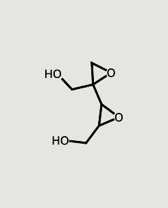 OCC1OC1C1(CO)CO1